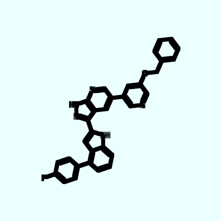 Fc1ccc(-c2cccc3[nH]c(-c4n[nH]c5ncc(-c6cncc(OCc7ccccc7)c6)cc45)cc23)cc1